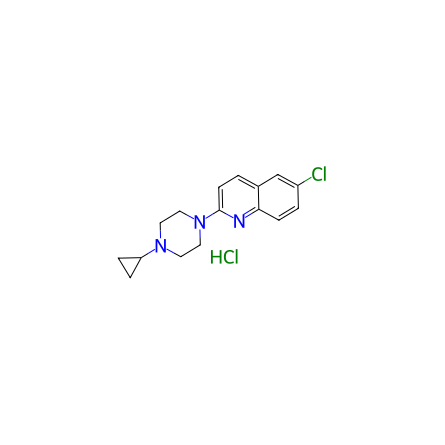 Cl.Clc1ccc2nc(N3CCN(C4CC4)CC3)ccc2c1